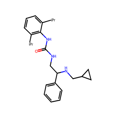 CC(C)c1cccc(C(C)C)c1NC(=O)NCC(NCC1CC1)c1ccccc1